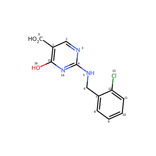 O=C(O)c1cnc(NCc2ccccc2Cl)nc1O